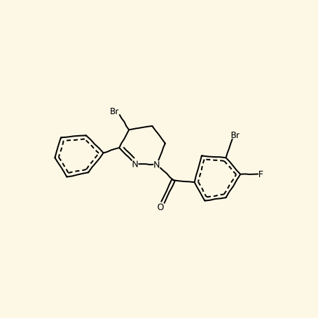 O=C(c1ccc(F)c(Br)c1)N1CCC(Br)C(c2ccccc2)=N1